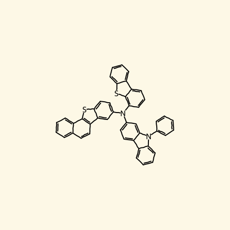 c1ccc(-n2c3ccccc3c3ccc(N(c4ccc5sc6c7ccccc7ccc6c5c4)c4cccc5c4sc4ccccc45)cc32)cc1